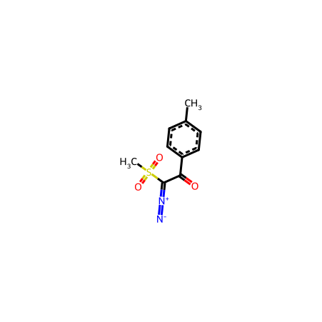 Cc1ccc(C(=O)C(=[N+]=[N-])S(C)(=O)=O)cc1